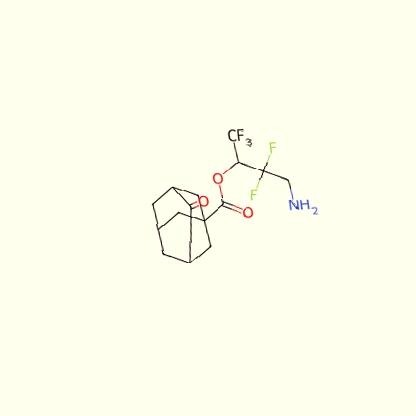 NCC(F)(F)C(OC(=O)C12CC3CC(C1)C(=O)C(C3)C2)C(F)(F)F